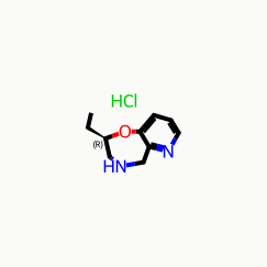 CC[C@@H]1CNCc2ncccc2O1.Cl